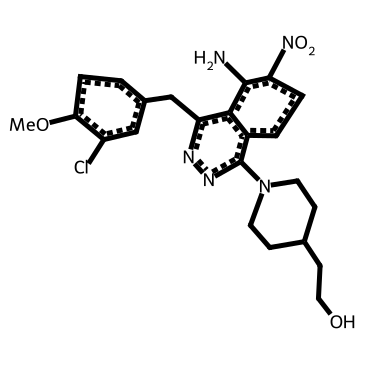 COc1ccc(Cc2nnc(N3CCC(CCO)CC3)c3ccc([N+](=O)[O-])c(N)c23)cc1Cl